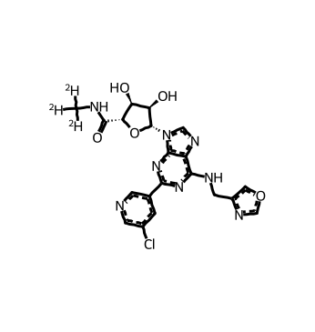 [2H]C([2H])([2H])NC(=O)[C@H]1O[C@@H](n2cnc3c(NCc4cocn4)nc(-c4cncc(Cl)c4)nc32)[C@H](O)[C@@H]1O